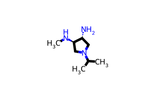 CN[C@@H]1CN(C(C)C)C[C@H]1N